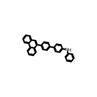 c1ccc(Nc2ccc(-c3ccc(-c4cc5ccccc5c5ccccc45)cc3)cc2)cc1